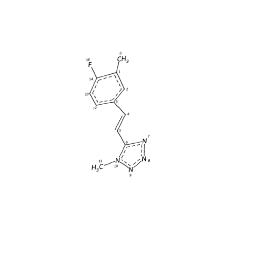 Cc1cc(C=Cc2nnnn2C)ccc1F